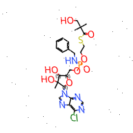 CC(C)(CO)C(=O)SCCOP(=O)(NCc1ccccc1)OC[C@H]1O[C@@H](n2cnc3c(Cl)ncnc32)C(C)(O)[C@H]1O